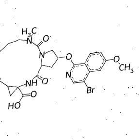 COc1ccc2c(OC3CC4C(=O)NC5(C(=O)O)CC5/C=C\CCCCN(C)C(=O)N4C3)ncc(Br)c2c1